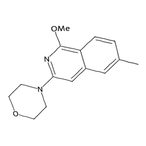 COc1nc(N2CCOCC2)cc2cc(C)ccc12